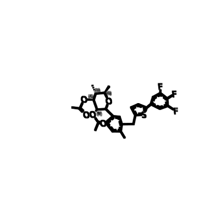 CC(=O)O[C@H]1[C@H](C)[C@@H](C)OC(c2ccc(C)c(Cc3ccc(-c4cc(F)c(F)c(F)c4)s3)c2)[C@@H]1OC(C)=O